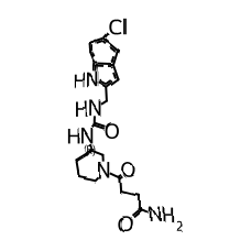 NC(=O)CCC(=O)N1CCC[C@@H](NC(=O)NCc2cc3cc(Cl)ccc3[nH]2)C1